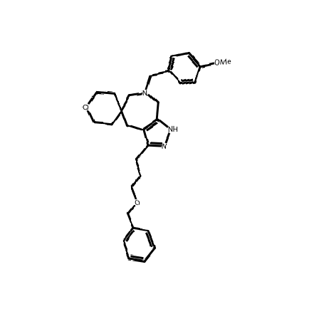 COc1ccc(CN2Cc3[nH]nc(CCCOCc4ccccc4)c3CC3(CCOCC3)C2)cc1